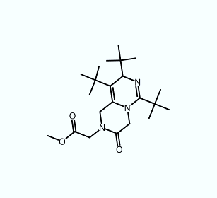 COC(=O)CN1CC2=C(C(C)(C)C)C(C(C)(C)C)N=C(C(C)(C)C)N2CC1=O